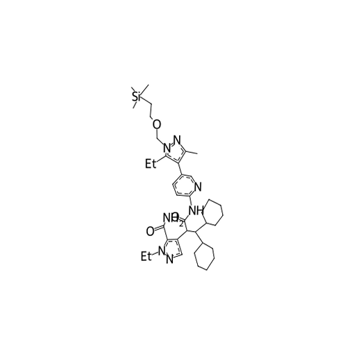 CCc1c(-c2ccc(NC(=O)C(c3cnn(CC)c3C(N)=O)C(C3CCCCC3)C3CCCCC3)nc2)c(C)nn1COCC[Si](C)(C)C